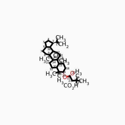 C=C(C)[C@@H]1CCC2CC[C@]3(C)C(CCC4[C@@]5(C)CC[C@H](OC(=O)CC(C)(C)C(=O)O)C(C)(C)C5CC[C@]43C)C21